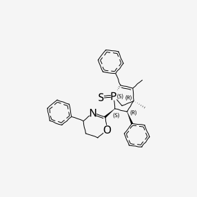 CC1=C(c2ccccc2)[P@]2(=S)C[C@]1(C)[C@@H](c1ccccc1)[C@H]2C1=NC(c2ccccc2)CCO1